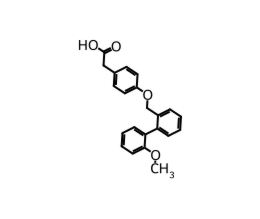 COc1ccccc1-c1ccccc1COc1ccc(CC(=O)O)cc1